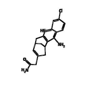 NC(=O)CC1=CC2Cc3[siH]c4cc(Cl)ccc4c(N)c3C(C1)C2